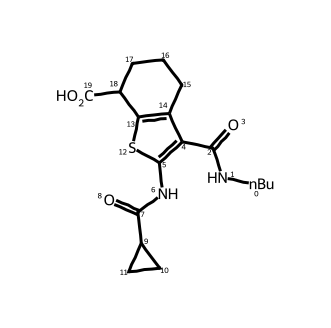 CCCCNC(=O)c1c(NC(=O)C2CC2)sc2c1CCCC2C(=O)O